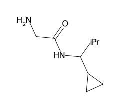 CC(C)C(NC(=O)CN)C1CC1